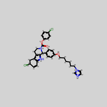 O=C(Oc1ccc(Cl)cc1)N1CCc2c([nH]c3c2CC(Cl)C=C3)C1c1ccc(OCCCCCCn2ccnc2)cc1